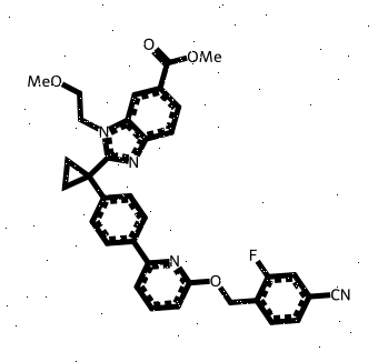 COCCn1c(C2(c3ccc(-c4cccc(OCc5ccc(C#N)cc5F)n4)cc3)CC2)nc2ccc(C(=O)OC)cc21